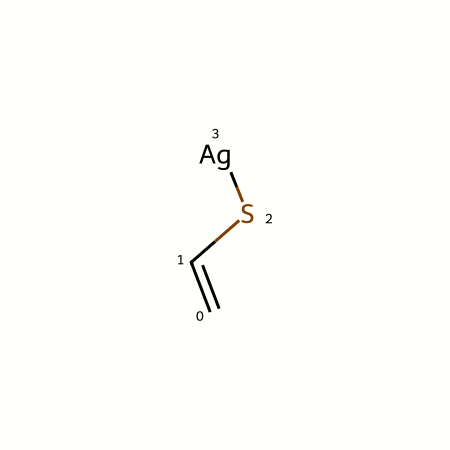 C=C[S][Ag]